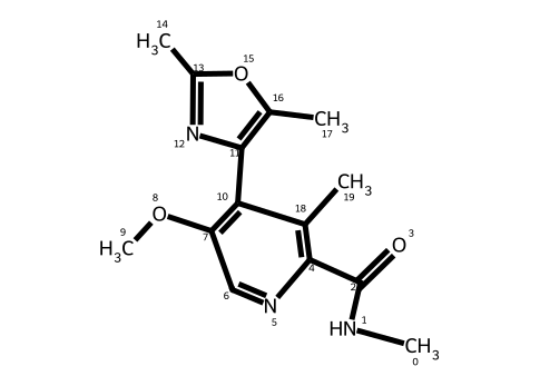 CNC(=O)c1ncc(OC)c(-c2nc(C)oc2C)c1C